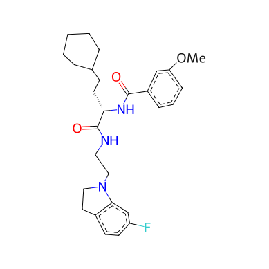 COc1cccc(C(=O)N[C@@H](CCC2CCCCC2)C(=O)NCCN2CCc3ccc(F)cc32)c1